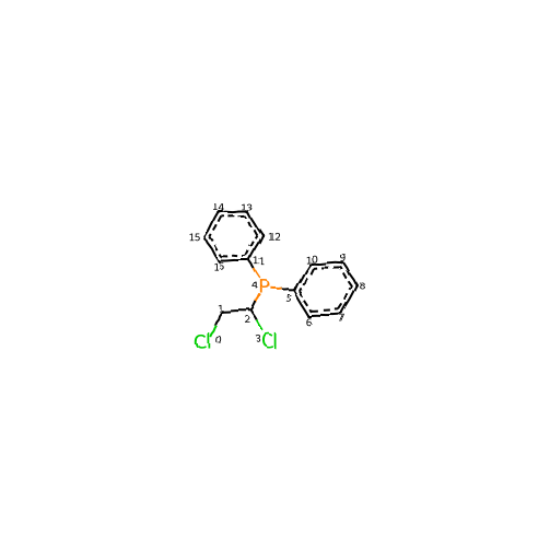 ClCC(Cl)P(c1ccccc1)c1ccccc1